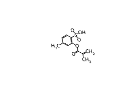 C=C(C)C(=O)Oc1cc(C)ccc1S(=O)(=O)O